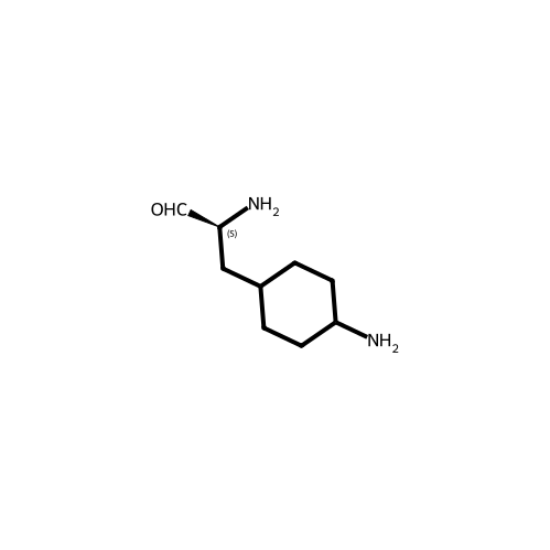 NC1CCC(C[C@H](N)C=O)CC1